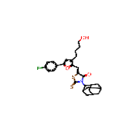 O=C1C(=Cc2oc(-c3ccc(F)cc3)cc2CCCCO)SC(=S)N1C1C2CC3CC(C2)CC1C3